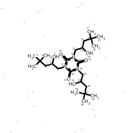 CC(C)(C)CC(O)Cn1c(=O)n(CC(O)CC(C)(C)C)c(=O)n(CC(O)CC(C)(C)C)c1=O